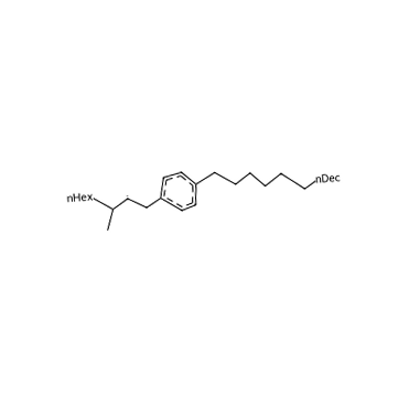 CCCCCCCCCCCCCCCCc1ccc(C[CH]C(C)CCCCCC)cc1